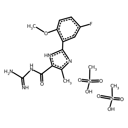 COc1ccc(F)cc1-c1nc(C)c(C(=O)NC(=N)N)[nH]1.CS(=O)(=O)O.CS(=O)(=O)O